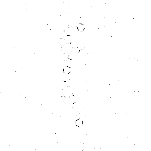 CN[C@@H](C)C(=O)N[C@H]1CN(C(=O)Nc2ccc(NC(=O)N3CCC(=O)N4[C@H](CC[C@H]4C(=O)N[C@H]4C[C@H]4c4ccccc4)CC3)cc2)CC[C@H]2CC[C@@H](C(=O)N[C@H]3C[C@H]3c3ccccc3)N2C1=O